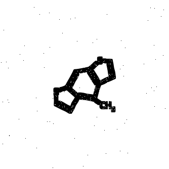 Cc1c2ccsc2cc2sccc12